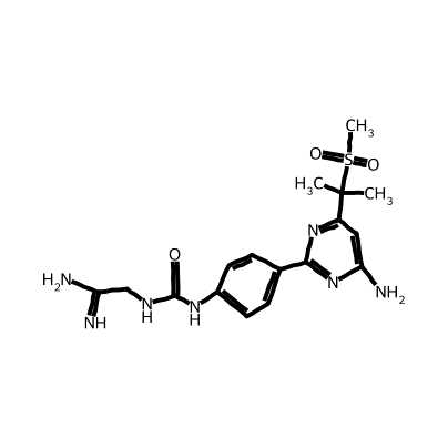 CC(C)(c1cc(N)nc(-c2ccc(NC(=O)NCC(=N)N)cc2)n1)S(C)(=O)=O